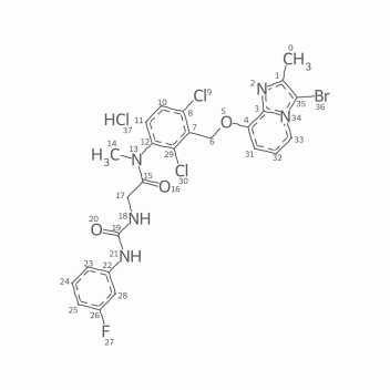 Cc1nc2c(OCc3c(Cl)ccc(N(C)C(=O)CNC(=O)Nc4cccc(F)c4)c3Cl)cccn2c1Br.Cl